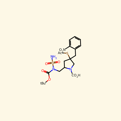 CC(=O)SC1(Cc2ccccc2[N+](=O)[O-])CC(CN(C(=O)OC(C)(C)C)S(N)(=O)=O)N(C(=O)O)C1